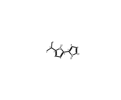 CC(C)c1ccc(-c2cc[c]s2)s1